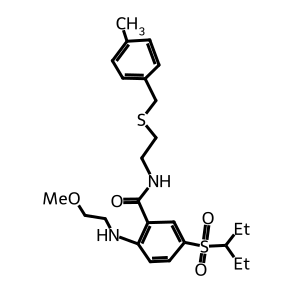 CCC(CC)S(=O)(=O)c1ccc(NCCOC)c(C(=O)NCCSCc2ccc(C)cc2)c1